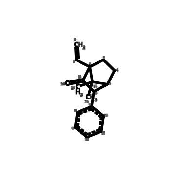 C=CC12CCC(C(c3ccccc3)C1=O)C2(C)C